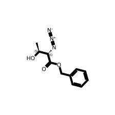 C[C@H](O)[C@H](N=[N+]=[N-])C(=O)OCc1ccccc1